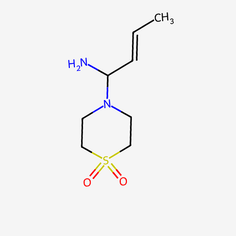 CC=CC(N)N1CCS(=O)(=O)CC1